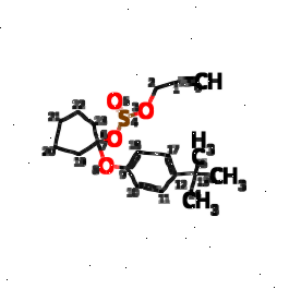 C#CCOS(=O)OC1(Oc2ccc(C(C)(C)C)cc2)CCCCC1